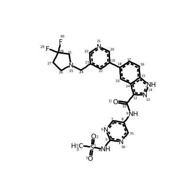 CS(=O)(=O)Nc1ncc(NC(=O)c2n[nH]c3ccc(-c4cncc(CN5CCC(F)(F)C5)c4)cc23)cn1